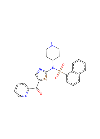 O=C(c1ccccn1)c1cnc(N(C2CCNCC2)S(=O)(=O)c2cccc3ccccc23)s1